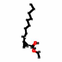 CCCCCCCCCC1=C[C@H]1C(=O)OCC